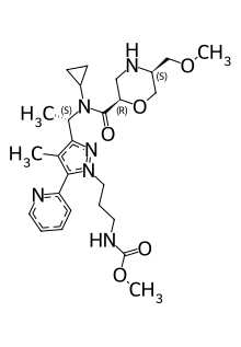 COC[C@H]1CO[C@@H](C(=O)N(C2CC2)[C@@H](C)c2nn(CCCNC(=O)OC)c(-c3ccccn3)c2C)CN1